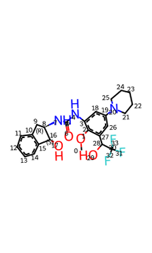 COc1c(NC(=O)N[C@@H]2Cc3ccccc3[C@@H]2O)cc(N2CCCCC2)cc1C(O)C(F)(F)F